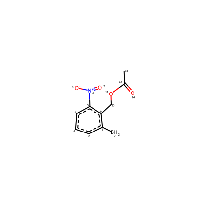 Bc1cccc([N+](=O)[O-])c1COC(C)=O